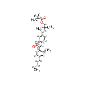 C=C(C)C(=O)OCC(C)(C)CSc1ccc2cc(-c3ccc(CCCCC)cc3C)c(=O)oc2c1